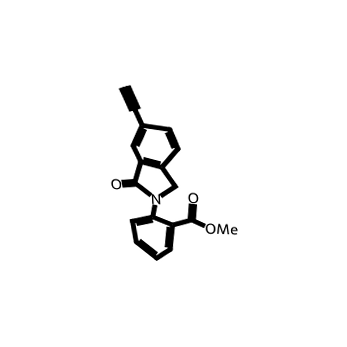 C#Cc1ccc2c(c1)C(=O)N(c1ccccc1C(=O)OC)C2